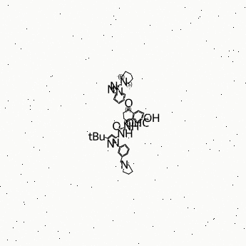 C[C@@H]1CCC[C@H](C)N1c1nnc2ccc(O[C@@H]3CC[C@H](NC(=O)Nc4cc(C(C)(C)C)nn4-c4cccc(CN5CCCC5)c4)c4ccccc43)cn12.O=CO